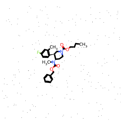 CCCCOC(=O)N1CC[C@H](N(C)C(=O)OCc2ccccc2)[C@@H](c2ccc(F)cc2C)C1